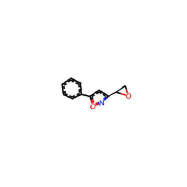 c1ccc(-c2cc(C3CO3)no2)cc1